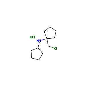 Cl.ClCC1(NC2CCCC2)CCCC1